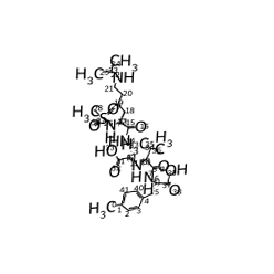 Cc1ccc(C[C@H](NC(=O)[C@@H](N[C@@H](CNC(=O)[C@H](CCCCNC(C)C)NS(C)(=O)=O)C(=O)O)C(C)C)C(=O)O)cc1